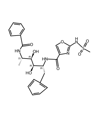 C[C@H](NC(=O)c1ccccc1)[C@@H](O)[C@H](O)[C@@H](Cc1ccccc1)NC(=O)c1coc(NS(C)(=O)=O)n1